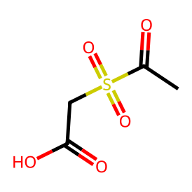 CC(=O)S(=O)(=O)CC(=O)O